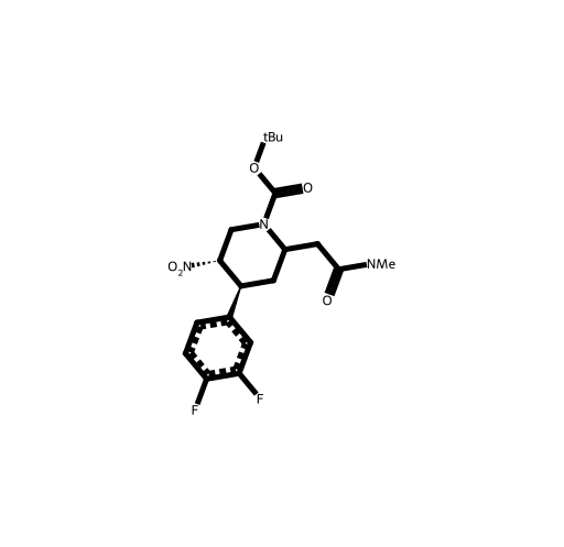 CNC(=O)CC1C[C@@H](c2ccc(F)c(F)c2)[C@H]([N+](=O)[O-])CN1C(=O)OC(C)(C)C